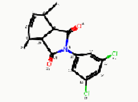 CC1C=CC(C)C2C(=O)N(c3cc(Cl)cc(Cl)c3)C(=O)C12